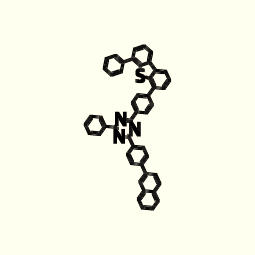 c1ccc(-c2nc(-c3ccc(-c4ccc5ccccc5c4)cc3)nc(-c3ccc(-c4cccc5c4sc4c(-c6ccccc6)cccc45)cc3)n2)cc1